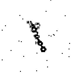 Cn1c(N)nc2ncn(Cc3nc(C4C5C=C(c6ccccc6)C[C@H]54)no3)c(=O)c21